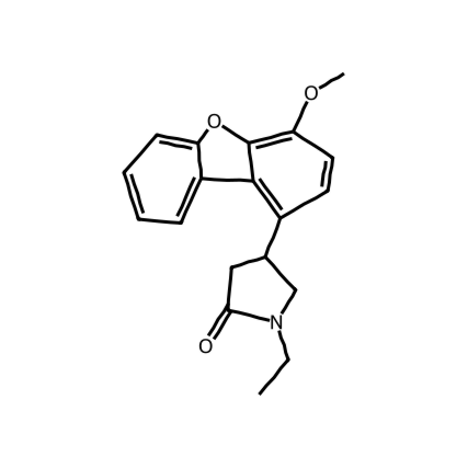 CCN1CC(c2ccc(OC)c3oc4ccccc4c23)CC1=O